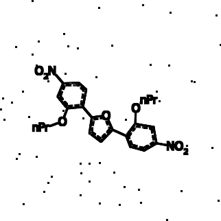 CCCOc1cc([N+](=O)[O-])ccc1-c1ccc(-c2ccc([N+](=O)[O-])cc2OCCC)o1